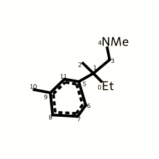 CCC(C)(CNC)c1cccc(C)c1